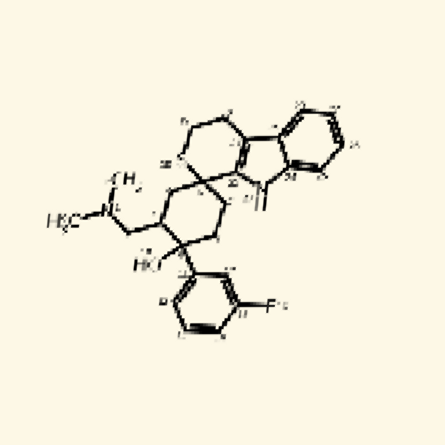 CN(C)CC1CC2(CCC1(O)c1cccc(F)c1)SCCc1c2[nH]c2ccccc12